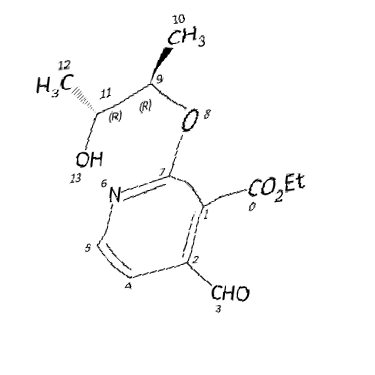 CCOC(=O)c1c(C=O)ccnc1O[C@H](C)[C@@H](C)O